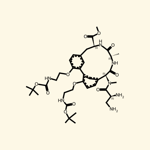 COC(=O)[C@@H]1Cc2ccc(OCCNC(=O)OC(C)(C)C)c(c2)-c2cc(ccc2OCCNC(=O)OC(C)(C)C)[C@H](N(C)C(=O)[C@@H](N)CN)C(=O)N[C@@H](C)C(=O)N1